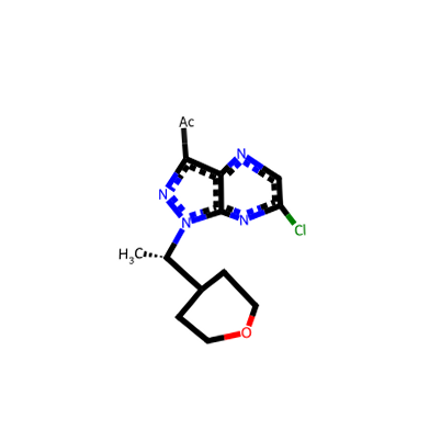 CC(=O)c1nn([C@@H](C)C2CCOCC2)c2nc(Cl)cnc12